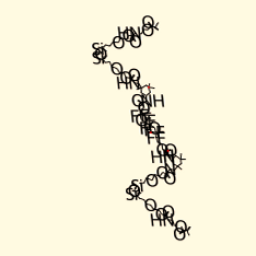 C=C(C)C(=O)OCCNC(=O)OCCOCCC[Si](C)(C)O[Si](C)(C)CCCOCCOC(=O)NCC1(C)CC(NC(=O)OCCC(F)(F)C(F)(F)OC(F)(F)C(F)(F)OC(F)(F)COC(=O)NC2CC(C)(C)CC(C)(CNC(=O)OCCOCCC[Si](C)(C)O[Si](C)(C)CCCOCCOC(=O)NCCOC(=O)C(=C)C)C2)CC(C)(C)C1